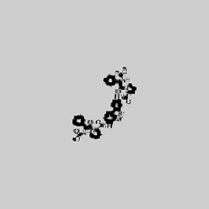 COC(=O)NC(C(=O)N1CCC[C@H]1C(=O)Nc1ccc(-c2ccc(NC(=O)[C@@H]3CCCN3C(=O)[C@H](NC(=O)OC)c3ccccc3)cc2Br)c(Br)c1)c1ccccc1